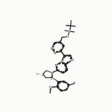 COc1ccc(F)cc1[C@H]1C[C@H](F)CN1c1ccc2ncc(-c3cc(CO[Si](C)(C)C(C)(C)C)cnn3)n2n1